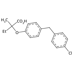 CCC(C)(Oc1ccc(Cc2ccc(Cl)cc2)cc1)C(=O)O